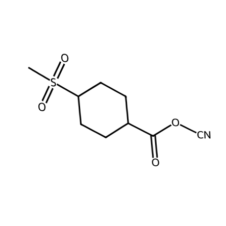 CS(=O)(=O)C1CCC(C(=O)OC#N)CC1